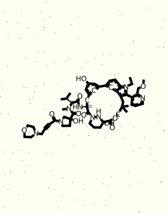 CCn1c(-c2cccnc2COC)c2c3cc(ccc31)-c1cc(O)cc(c1)C[C@H](NC(=O)[C@H](C(C)C)N(C)C(=O)C1(O)CCN(C(=O)C#CCN3CCOCC3)C1)C(=O)N1CCC[C@@](O)(N1)C(=O)OCC(C)(C)C2